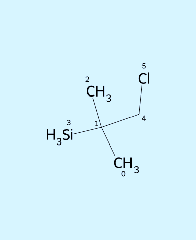 CC(C)([SiH3])CCl